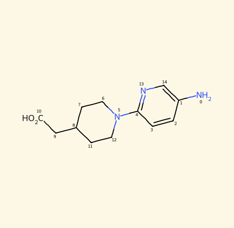 Nc1ccc(N2CCC(CC(=O)O)CC2)nc1